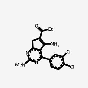 CCC(=O)C1=C(N)c2c(nc(NC)nc2-c2ccc(Cl)c(Cl)c2)C1